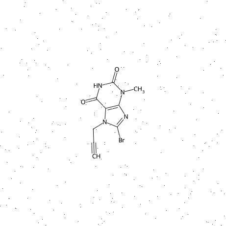 C#CCn1c(Br)nc2c1c(=O)[nH]c(=O)n2C